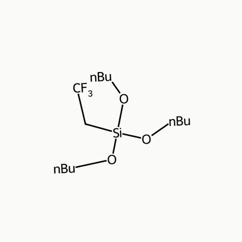 CCCCO[Si](CC(F)(F)F)(OCCCC)OCCCC